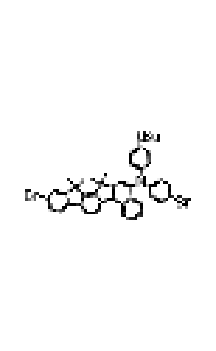 CC(C)(C)c1ccc(N(c2ccc(Br)cc2)c2cc3c(c4ccccc24)-c2ccc4c(c2C3(C)C)C(C)(C)c2cc(Br)ccc2-4)cc1